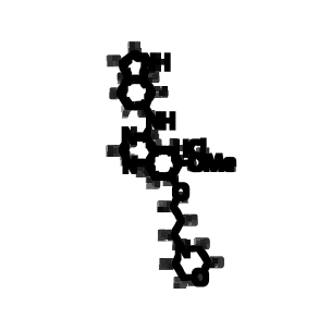 COc1cc2c(Nc3ccc4cc[nH]c4c3)ncnc2cc1OCCCN1CCOCC1.Cl